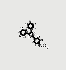 O=[N+]([O-])c1ccc(-c2nc(-c3ccccc3)c(-c3ccccc3)o2)cc1